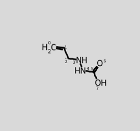 C=C[CH]NNC(=O)O